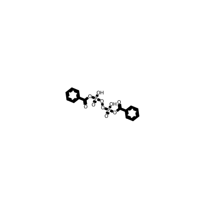 O=C(OP(=O)(O)OOP(=O)(O)OC(=O)c1ccccc1)c1ccccc1